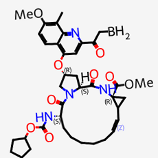 BCC(=O)c1cc(O[C@@H]2C[C@H]3C(=O)N[C@]4(C(=O)OC)CC4/C=C\CCCCC[C@H](NC(=O)OC4CCCC4)C(=O)N3C2)c2ccc(OC)c(C)c2n1